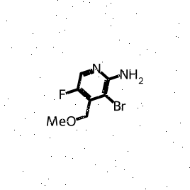 COCc1c(F)cnc(N)c1Br